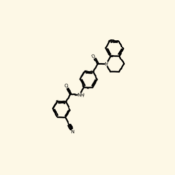 N#Cc1cccc(C(=O)Nc2ccc(C(=O)N3CCCc4ccccc43)cc2)c1